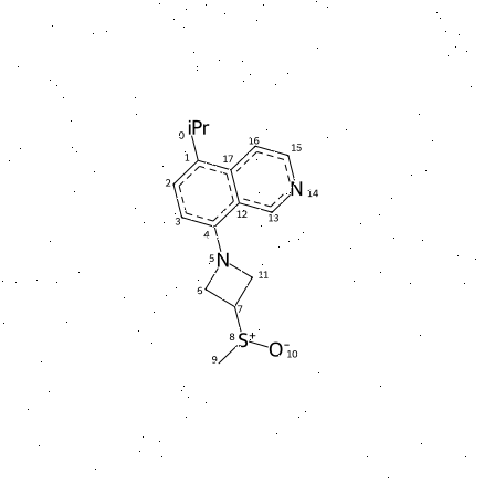 CC(C)c1ccc(N2CC([S+](C)[O-])C2)c2cnccc12